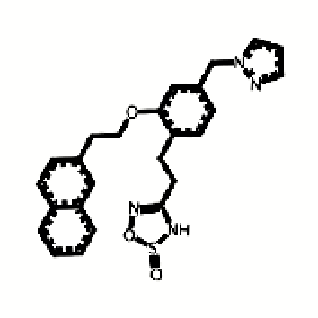 O=S1NC(CCc2ccc(Cn3cccn3)cc2OCCc2ccc3ccccc3c2)=NO1